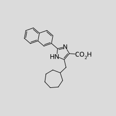 O=C(O)c1nc(-c2ccc3ccccc3c2)[nH]c1CC1CCCCCC1